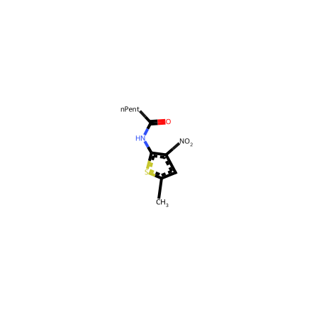 CCCCCC(=O)Nc1sc(C)cc1[N+](=O)[O-]